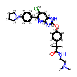 CN(C)CCNC(=O)C(C)(C)c1ccc(Oc2nc3nc(-c4ccc(N5CCCC5)cc4)c(Cl)cc3[nH]2)cc1